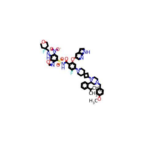 COc1ccc(CN2CCN(C3CC4(CCN(c5cc(Oc6cnc7[nH]ccc7c6)c(C(=O)NS(=O)(=O)c6cc([N+](=O)[O-])c(NCC7(F)CCOCC7)c7ocnc67)cc5F)CC4)C3)C(c3ccccc3C(C)C)C2)cc1